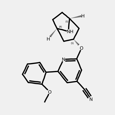 COc1ccccc1-c1cc(C#N)cc(O[C@@H]2C[C@H]3CC[C@@H](C2)N3)n1